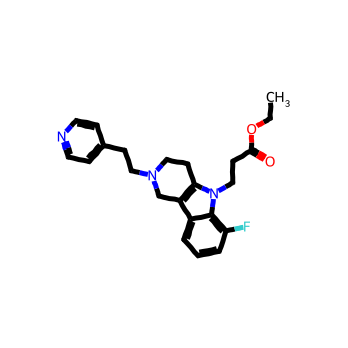 CCOC(=O)CCn1c2c(c3cccc(F)c31)CN(CCc1ccncc1)CC2